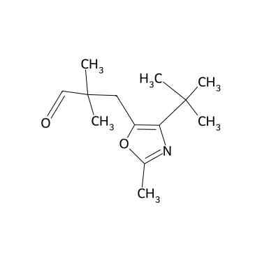 Cc1nc(C(C)(C)C)c(CC(C)(C)C=O)o1